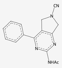 CC(=O)Nc1nc2c(c(-c3ccccc3)n1)CN(C#N)C2